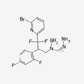 N/N=C\N(N)CC(c1ccc(F)cc1F)C(F)(F)c1cccc(Br)n1